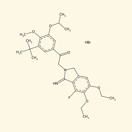 Br.CCOc1cc2c(c(F)c1OCC)C(=N)N(CC(=O)c1cc(OC(C)C)c(OC)c(C(C)(C)C)c1)C2